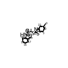 Cc1ccc2sc(SCS(=O)(=O)Nc3ccccc3C)nc2c1